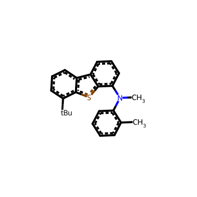 Cc1ccccc1N(C)c1cccc2c1sc1c(C(C)(C)C)cccc12